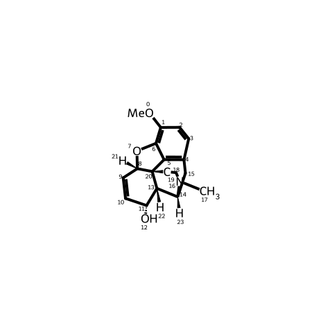 COc1ccc2c3c1O[C@H]1C=C[C@@H](O)[C@H]4[C@@H](C2)N(C)CC[C@@]341